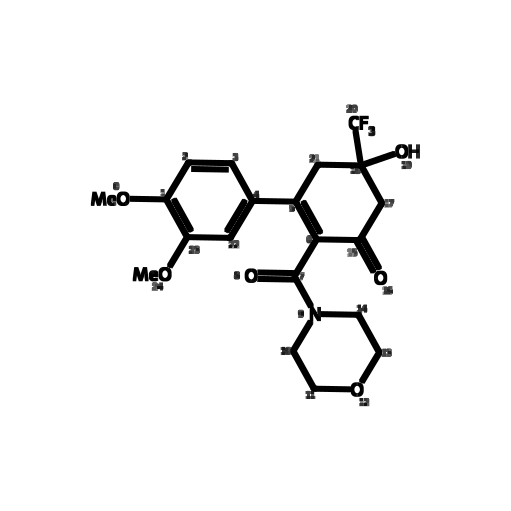 COc1ccc(C2=C(C(=O)N3CCOCC3)C(=O)CC(O)(C(F)(F)F)C2)cc1OC